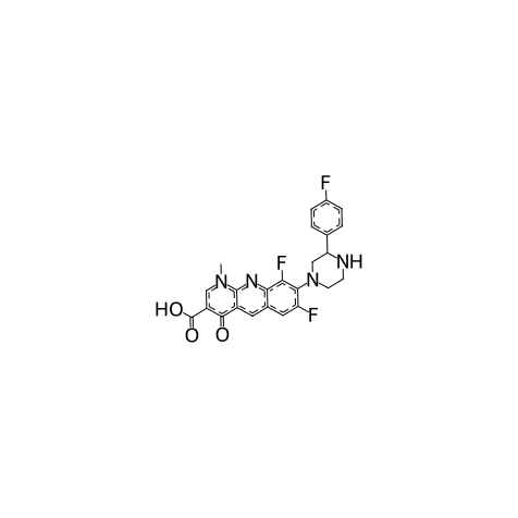 Cn1cc(C(=O)O)c(=O)c2cc3cc(F)c(N4CCNC(c5ccc(F)cc5)C4)c(F)c3nc21